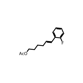 CC(=O)OCCCC/C=C/c1ccccc1F